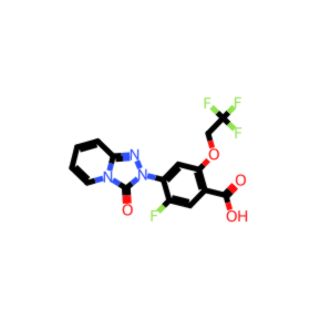 O=C(O)c1cc(F)c(-n2nc3ccccn3c2=O)cc1OCC(F)(F)F